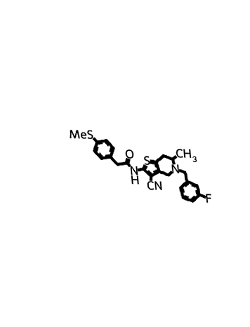 CSc1ccc(CC(=O)Nc2sc3c(c2C#N)CN(Cc2cccc(F)c2)C(C)C3)cc1